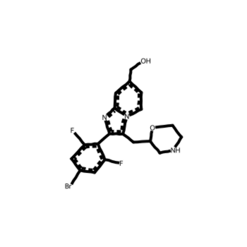 OCc1ccn2c(CC3CNCCO3)c(-c3c(F)cc(Br)cc3F)nc2c1